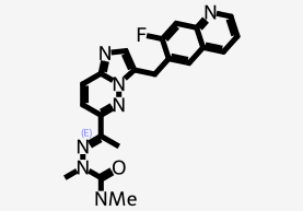 CNC(=O)N(C)/N=C(\C)c1ccc2ncc(Cc3cc4cccnc4cc3F)n2n1